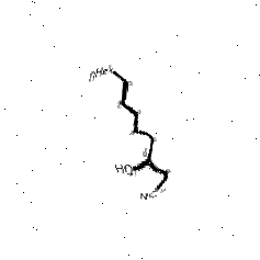 CCCCCCCCCCCC(O)CC#N